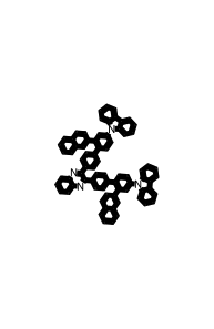 c1ccc2cc(-c3cc(-n4c5ccccc5c5ccccc54)ccc3-c3ccc(-c4nc5ccccc5nc4-c4ccc(-c5ccc(-n6c7ccccc7c7ccccc76)cc5-c5ccc6ccccc6c5)cc4)cc3)ccc2c1